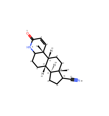 C[C@]12C=CC(=O)NC1CC[C@@H]1[C@H]2CC[C@]2(C)C(C#N)CC[C@@H]12